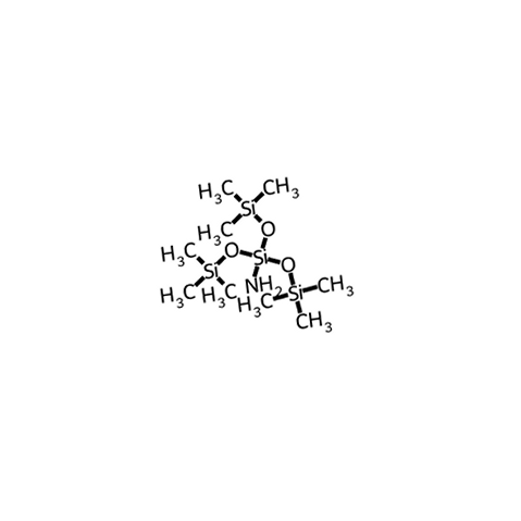 C[Si](C)(C)O[Si](N)(O[Si](C)(C)C)O[Si](C)(C)C